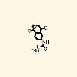 CC(C)(C)OC(=O)Nc1ccc2c(=O)[nH]cc(Cl)c2c1